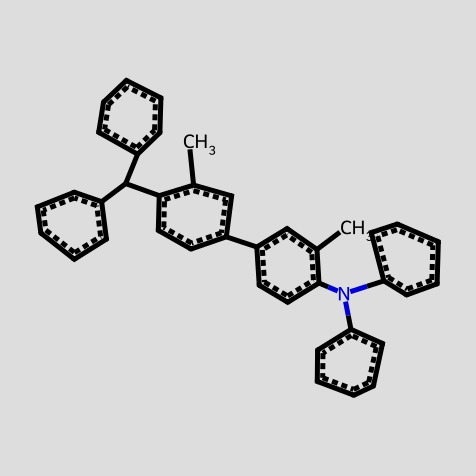 Cc1cc(-c2ccc(N(c3ccccc3)c3ccccc3)c(C)c2)ccc1C(c1ccccc1)c1ccccc1